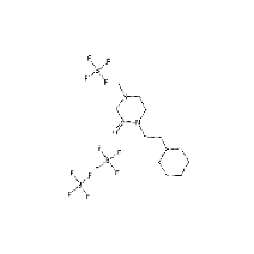 CN1CCN(CCC2CCCCC2)C(=O)C1.F[B-](F)(F)F.F[B-](F)(F)F.F[B-](F)(F)F